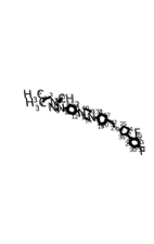 C=C1N(CC(C)C)N=CN1c1ccc(N2CCN(c3ccc(CC[C@@H]4CCC(c5ccc(F)cc5F)C4)cc3)CC2)cc1